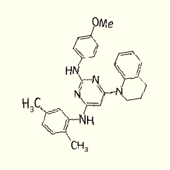 COc1ccc(Nc2nc(Nc3cc(C)ccc3C)cc(N3CCCc4ccccc43)n2)cc1